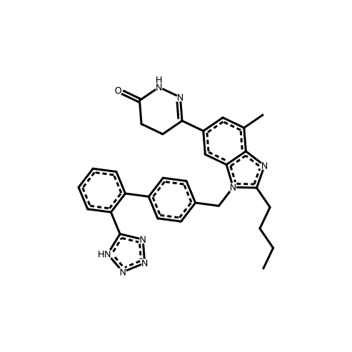 CCCCc1nc2c(C)cc(C3=NNC(=O)CC3)cc2n1Cc1ccc(-c2ccccc2-c2nnn[nH]2)cc1